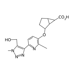 Cc1nc(-c2nnn(C)c2CO)ccc1OC1CCC2C(C(=O)O)C12